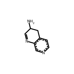 NC1C=Nc2cnccc2C1